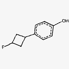 Oc1ccc(C2CC(F)C2)cc1